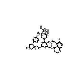 C#Cc1c(F)ccc2c1N([C@H]1COc3c(nc(OC[C@]4(C)C[C@@H](F)CN4c4ccc(C(F)(F)F)nc4)nc3N3C[C@H]4CC(C#N)[C@@H](C3)N4C(=O)C=C)C1)CCO2